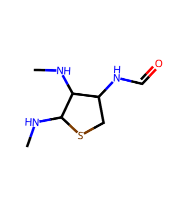 CNC1SCC(NC=O)C1NC